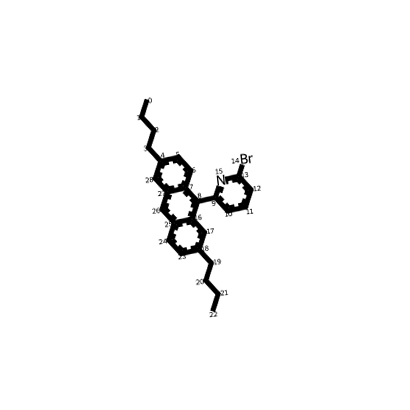 CCCCc1ccc2c(-c3cccc(Br)n3)c3cc(CCCC)ccc3cc2c1